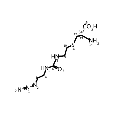 [N-]=[N+]=NCCNC(=O)NCCSC[C@@H](N)C(=O)O